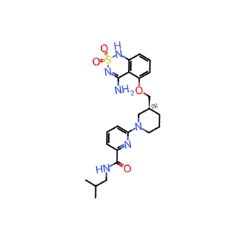 CC(C)CNC(=O)c1cccc(N2CCC[C@H](COc3cccc4c3C(N)=NS(=O)(=O)N4)C2)n1